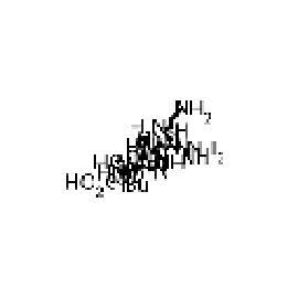 CC[C@H](C)[C@H](NC(=O)[C@H](CO)NC(=O)[C@H](Cc1c[nH]cn1)NC(=O)[C@@H]1CCCN1C(=O)[C@H](CCCNC(=N)N)NC(=O)[C@@H](N)CCCCN)C(=O)O